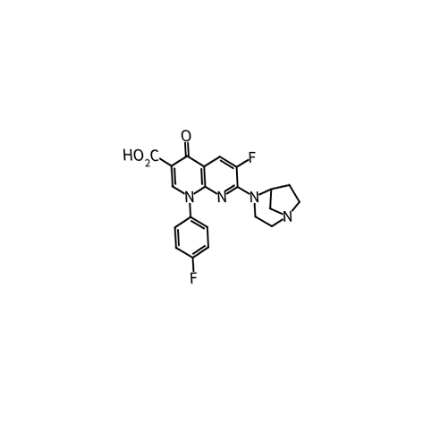 O=C(O)c1cn(-c2ccc(F)cc2)c2nc(N3CCN4CCC3C4)c(F)cc2c1=O